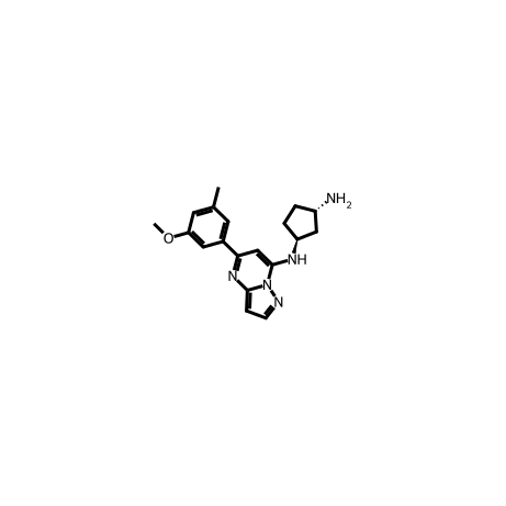 COc1cc(C)cc(-c2cc(N[C@H]3CC[C@H](N)C3)n3nccc3n2)c1